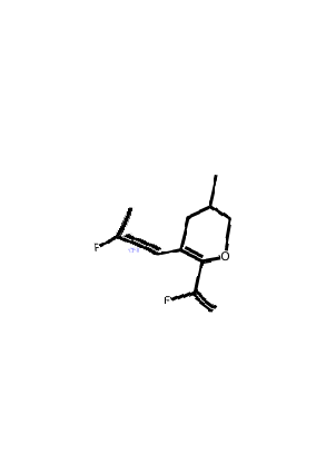 C=C(F)C1=C(/C=C(\C)F)CC(C)CO1